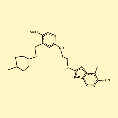 COc1ccc(NCCSc2nc3c(C)c(C#N)ncc3[nH]2)cc1OCC1CCN(C)CC1